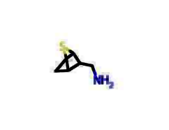 NCC1C2CC23SC13